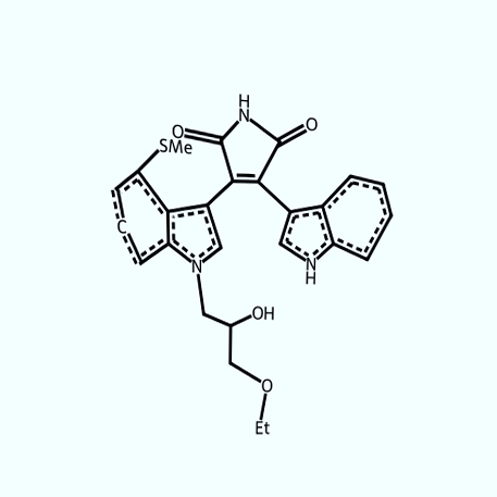 CCOCC(O)Cn1cc(C2=C(c3c[nH]c4ccccc34)C(=O)NC2=O)c2c(SC)cccc21